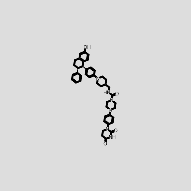 O=C1CCN(c2ccc(N3CCN(C(=O)NCC4CCN(c5ccc([C@@H]6c7ccc(O)cc7CC[C@@H]6c6ccccc6)cc5)CC4)CC3)cc2)C(=O)N1